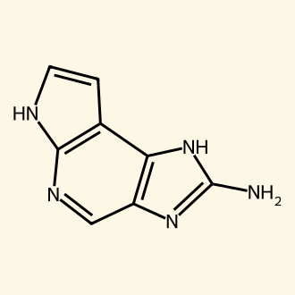 Nc1nc2cnc3[nH]ccc3c2[nH]1